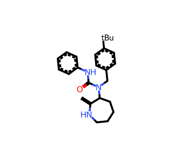 C=C1NCCCCC1N(Cc1ccc(C(C)(C)C)cc1)C(=O)Nc1ccccc1